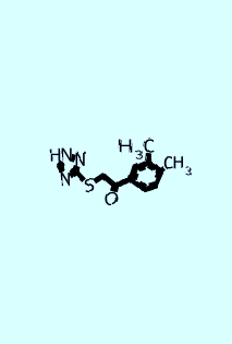 Cc1ccc(C(=O)CSc2nc[nH]n2)cc1C